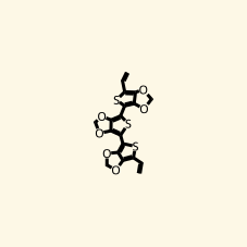 C=Cc1sc(-c2sc(-c3sc(C=C)c4c3OCO4)c3c2OCO3)c2c1OCO2